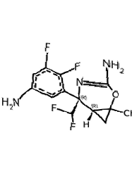 CC12C[C@@H]1[C@@](c1cc(N)cc(F)c1F)(C(F)F)N=C(N)O2